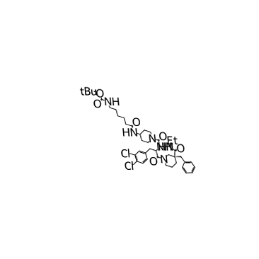 CCNC(=O)[C@]1(Cc2ccccc2)CCCN(C(=O)C(Cc2ccc(Cl)c(Cl)c2)NC(=O)N2CCC(NC(=O)CCCCCNC(=O)OC(C)(C)C)CC2)C1